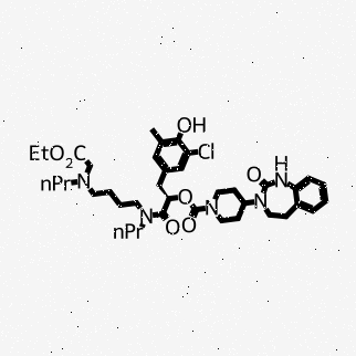 CCCN(CCCCN(CCC)C(=O)[C@@H](Cc1cc(C)c(O)c(Cl)c1)OC(=O)N1CCC(N2CCc3ccccc3NC2=O)CC1)CC(=O)OCC